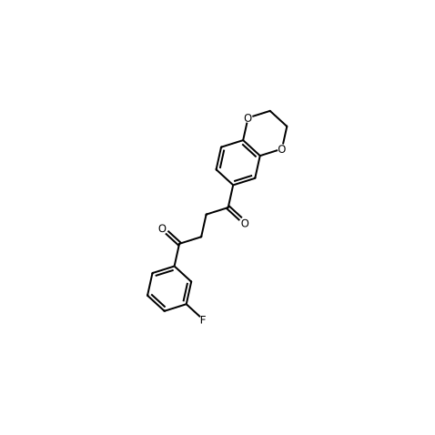 O=C(CCC(=O)c1ccc2c(c1)OCCO2)c1cccc(F)c1